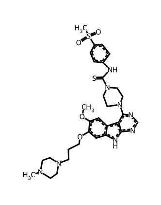 COc1cc2c(cc1OCCCN1CCN(C)CC1)[nH]c1ncnc(N3CCN(C(=S)Nc4ccc(S(C)(=O)=O)cc4)CC3)c12